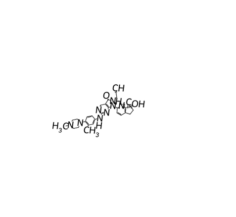 C#CCn1c(=O)c2cnc(Nc3ccc(N4CCN(C)CC4)c(C)c3)nc2n1-c1ccc2c(n1)[C@@](C)(O)CC2